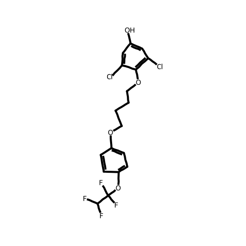 Oc1cc(Cl)c(OCCCCOc2ccc(OC(F)(F)C(F)F)cc2)c(Cl)c1